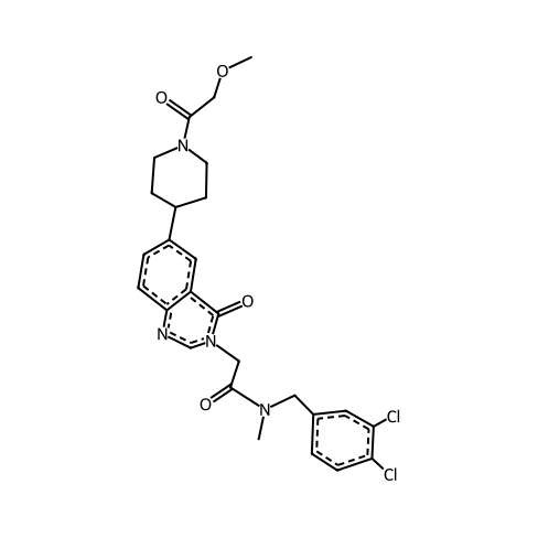 COCC(=O)N1CCC(c2ccc3ncn(CC(=O)N(C)Cc4ccc(Cl)c(Cl)c4)c(=O)c3c2)CC1